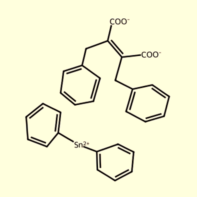 O=C([O-])C(Cc1ccccc1)=C(Cc1ccccc1)C(=O)[O-].c1cc[c]([Sn+2][c]2ccccc2)cc1